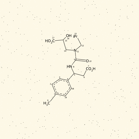 Cc1ccc(C(CC(=O)O)NC(=O)N(CC(C)C)CC(O)C(=O)O)cc1